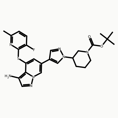 Cc1ccc(F)c(Sc2cc(-c3cnn(C4CCCN(C(=O)OC(C)(C)C)C4)c3)cn3ncc(N)c23)n1